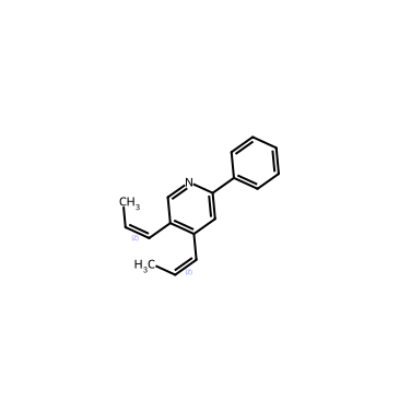 C/C=C\c1cnc(-c2ccccc2)cc1/C=C\C